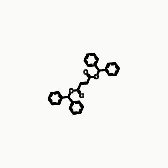 O=C(C=CC(=O)OC(c1ccccc1)c1ccccc1)OC(c1ccccc1)c1ccccc1